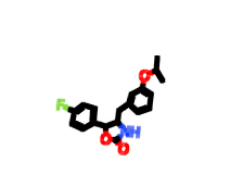 CC(C)Oc1cccc(CC2NC(=O)OC2c2ccc(F)cc2)c1